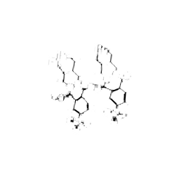 CC(C)CCCOC(=O)c1ccc(S(=O)(=O)[O-])cc1C(=O)OCCCC(C)C.CC(C)CCCOC(=O)c1ccc(S(=O)(=O)[O-])cc1C(=O)OCCCC(C)C.[Ca+2]